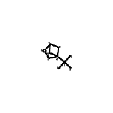 CC(C)(C)C12COC(C1)C2